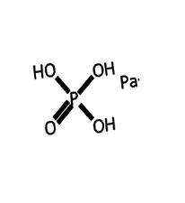 O=P(O)(O)O.[Pa]